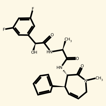 C[C@H](NC(=O)[C@@H](O)c1cc(F)cc(F)c1)C(=O)N[C@@H]1C(=O)N(C)CC=C[C@H]1c1ccccc1